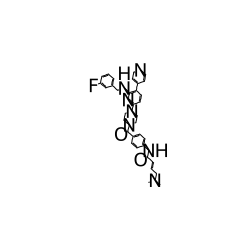 CN(C)C/C=C/C(=O)Nc1ccc(C(=O)N2CCN(c3ccc(-c4ccncc4)c(NCc4cccc(F)c4)n3)CC2)cc1